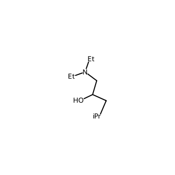 CCN(CC)CC(O)CC(C)C